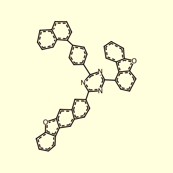 c1ccc2c(-c3ccc(-c4nc(-c5ccc6cc7c(cc6c5)oc5ccccc57)nc(-c5cccc6oc7ccccc7c56)n4)cc3)cccc2c1